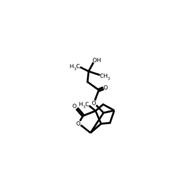 CC(C)(O)CC(=O)OC1C2CC3C1OC(=O)C3(C)C2